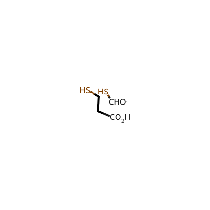 O=C(O)CCS.O=[C]S